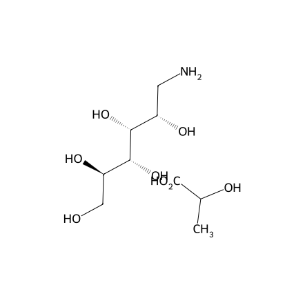 CC(O)C(=O)O.NC[C@H](O)[C@@H](O)[C@H](O)[C@H](O)CO